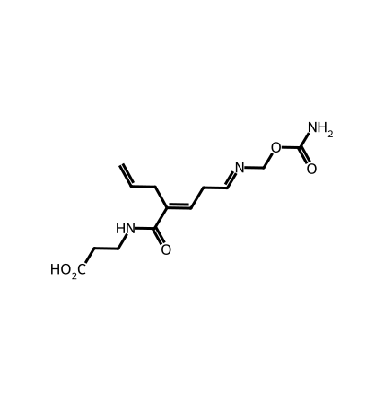 C=CC/C(=C\C/C=N/COC(N)=O)C(=O)NCCC(=O)O